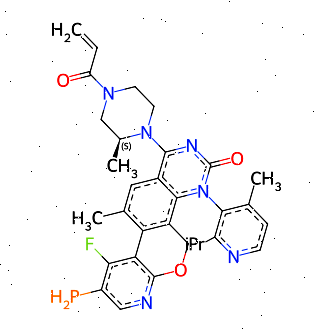 C=CC(=O)N1CCN(c2nc(=O)n(-c3c(C)ccnc3C(C)C)c3c4c(c(C)cc23)-c2c(ncc(P)c2F)OC4)[C@@H](C)C1